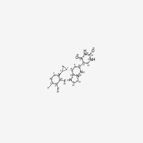 Cc1ccc([C@H]2C[C@@H]2c2cc(-c3c[nH]c(=O)[nH]c3=O)nn3ccnc23)c(F)c1F